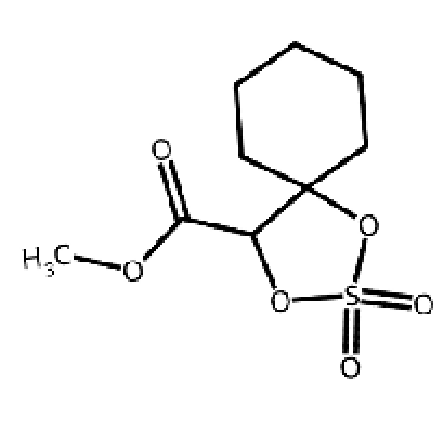 COC(=O)C1OS(=O)(=O)OC12CCCCC2